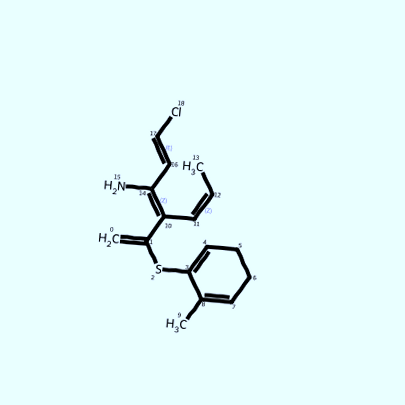 C=C(SC1=CCCC=C1C)C(/C=C\C)=C(N)/C=C/Cl